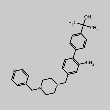 Cc1cc(CN2CCN(Cc3ccncc3)CC2)ccc1-c1ccc(C(C)(C)O)cc1